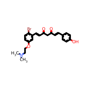 CN(C)CCOc1ccc(Br)c(C=CC(=O)CC(=O)C=Cc2ccc(O)cc2)c1